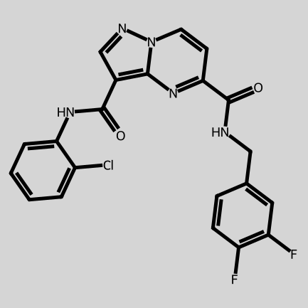 O=C(NCc1ccc(F)c(F)c1)c1ccn2ncc(C(=O)Nc3ccccc3Cl)c2n1